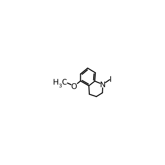 COc1cccc2c1CCCN2I